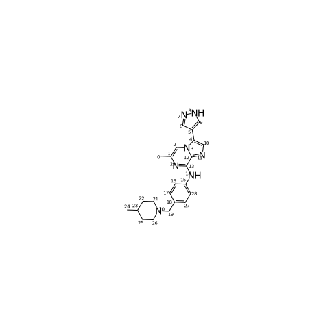 Cc1cn2c(-c3cn[nH]c3)cnc2c(Nc2ccc(CN3CCC(C)CC3)cc2)n1